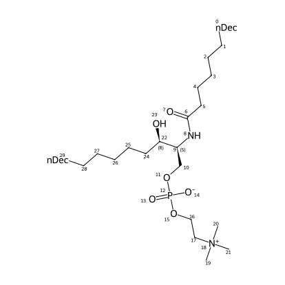 CCCCCCCCCCCCCCCC(=O)N[C@@H](COP(=O)([O-])OCC[N+](C)(C)C)[C@H](O)CCCCCCCCCCCCCCC